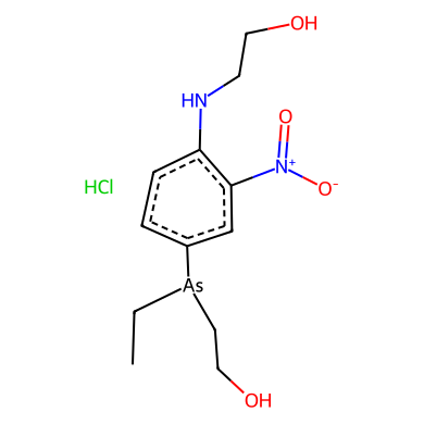 CC[As](CCO)c1ccc(NCCO)c([N+](=O)[O-])c1.Cl